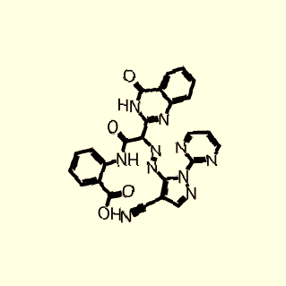 N#Cc1cnn(-c2ncccn2)c1N=NC(C(=O)Nc1ccccc1C(=O)O)c1nc2ccccc2c(=O)[nH]1